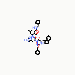 CC(C)CC(NC(=O)[C@H](Cc1c[nH]cn1)NC(=O)[C@H](Cc1cccc2ccccc12)NC(=O)OCc1ccccc1)C(C=O)CC(=O)NCc1ccccc1